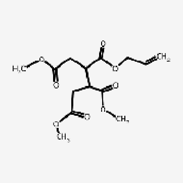 C=CCOC(=O)C(CC(=O)OC)C(CC(=O)OC)C(=O)OC